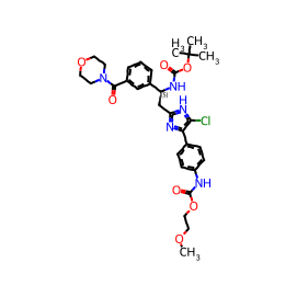 COCCOC(=O)Nc1ccc(-c2nc(C[C@H](NC(=O)OC(C)(C)C)c3cccc(C(=O)N4CCOCC4)c3)[nH]c2Cl)cc1